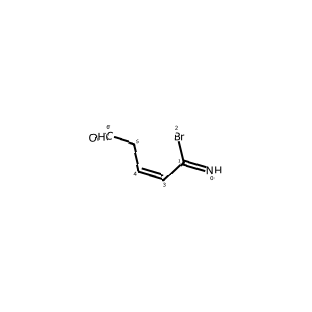 N=C(Br)/C=C\CC=O